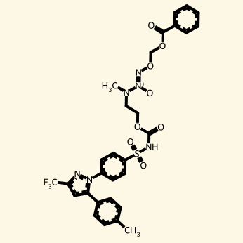 Cc1ccc(-c2cc(C(F)(F)F)nn2-c2ccc(S(=O)(=O)NC(=O)OCCN(C)[N+]([O-])=NOCOC(=O)c3ccccc3)cc2)cc1